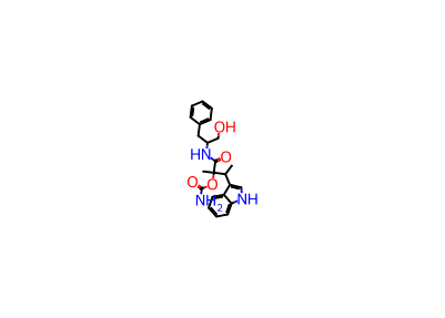 CC(c1c[nH]c2ccccc12)C(C)(OC(N)=O)C(=O)NC(CO)Cc1ccccc1